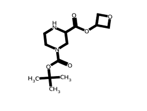 CC(C)(C)OC(=O)N1CCNC(C(=O)OC2COC2)C1